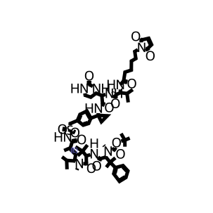 C/C(=C\C(C(C)C)N(C)C(=O)C(NC(=O)C(N(C)C(=O)OC(C)(C)C)C(C)(C)c1ccccc1)C(C)(C)C)C(=O)NS(=O)(=O)Cc1ccc(C2(NC(=O)C(CCCNC(N)=O)NC(=O)C(NC(=O)CCCCCN3C(=O)C=CC3=O)C(C)C)CC2)cc1